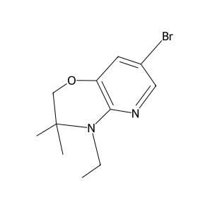 CCN1c2ncc(Br)cc2OCC1(C)C